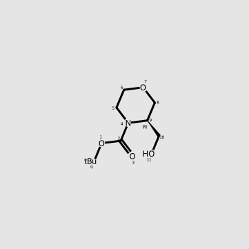 CC(C)(C)OC(=O)N1CCOC[C@H]1CO